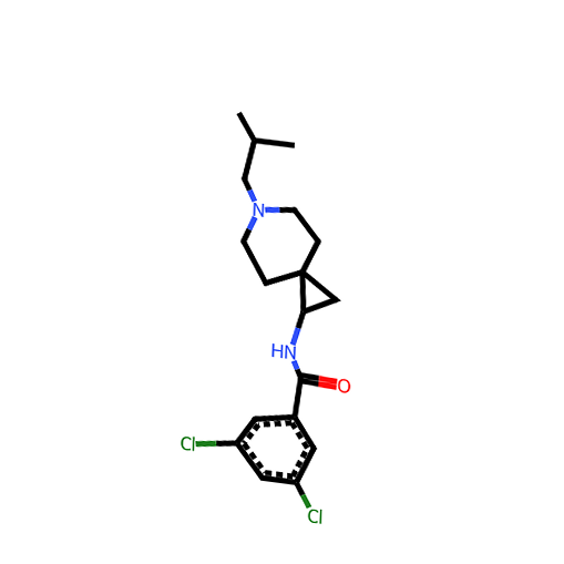 CC(C)CN1CCC2(CC1)CC2NC(=O)c1cc(Cl)cc(Cl)c1